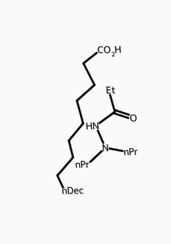 CCCCCCCCCCCCCCCCCC(=O)O.CCCN(CCC)NC(=O)CC